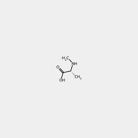 [CH2]N[C@H](C)C(=O)O